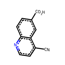 N#Cc1ccnc2ccc(C(=O)O)cc12